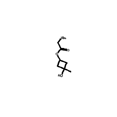 CC(C)(C)CC(=O)OC1CC(C)(O)C1